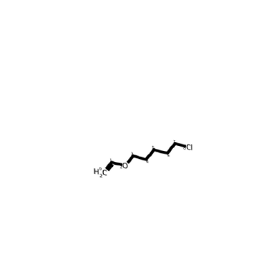 C=COCCCCCCl